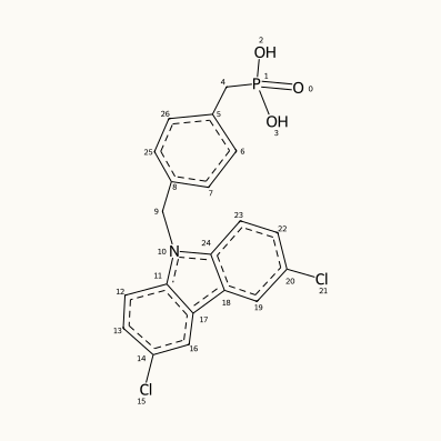 O=P(O)(O)Cc1ccc(Cn2c3ccc(Cl)cc3c3cc(Cl)ccc32)cc1